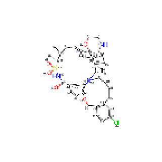 C[C@@H]1[C@@H](C)C/C=C/[C@]2(CNCCO2)[C@@H]2CC[C@H]2CN2CCCCc3cc(Cl)ccc3COc3ccc(cc32)C(=O)NS1(=O)=O